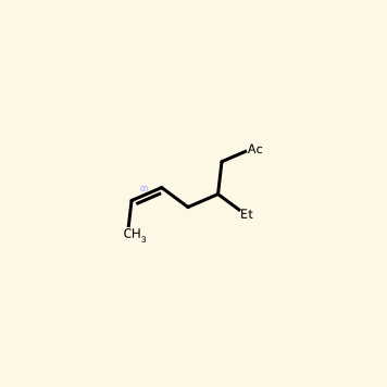 C/C=C\CC(CC)CC(C)=O